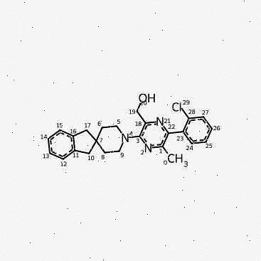 Cc1nc(N2CCC3(CC2)Cc2ccccc2C3)c(CO)nc1-c1ccccc1Cl